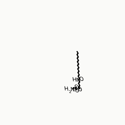 CCCCCCCCCCCCCCCC(=O)NCCCC(=O)OC(=O)CN